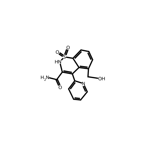 NC(=O)C1=C(c2ccccn2)c2c(CO)cccc2S(=O)(=O)N1